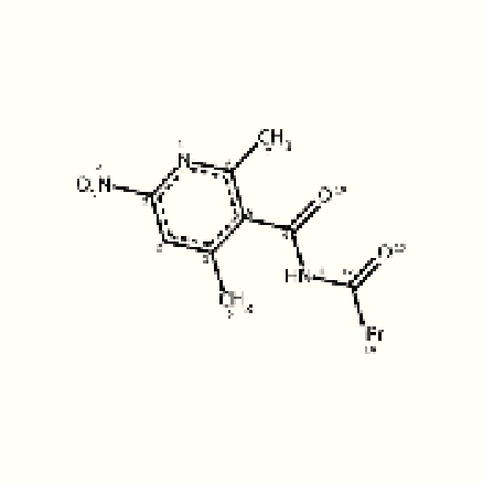 Cc1cc([N+](=O)[O-])nc(C)c1C(=O)NC(=O)C(C)C